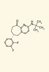 CC(C)(C)Nc1ccc2c(n1)C(=O)CC[C@@H](c1cccc(F)c1F)C2